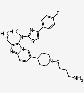 CCc1nc2ccc(C3CCN(SCCCN)CC3)cn2c1N(C)c1nc(-c2ccc(F)cc2)cs1